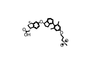 Cc1cc(OCCCS(C)(=O)=O)cc(C)c1-c1cccc2c1CC[C@H]2Oc1ccc2c(c1)SC[C@H]2CC(=O)O